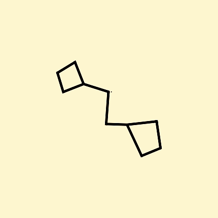 [CH](CC1CCC1)C1CCC1